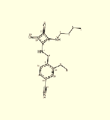 CCCCNc1c(NCc2ccc(C#N)cc2CC)c(=O)c1=O